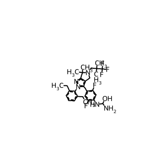 CCc1cccc(CC)c1-n1nc2c(c1-c1cc(F)c(NC(N)O)cc1F)CN(CC(C)(C)C(F)(F)F)C2(C)C